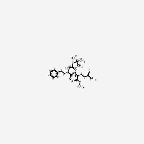 COC(=O)[C@H](CCC(N)=O)NC(=O)[C@@H](CCc1ccccc1)NC(=O)OC(C)(C)C